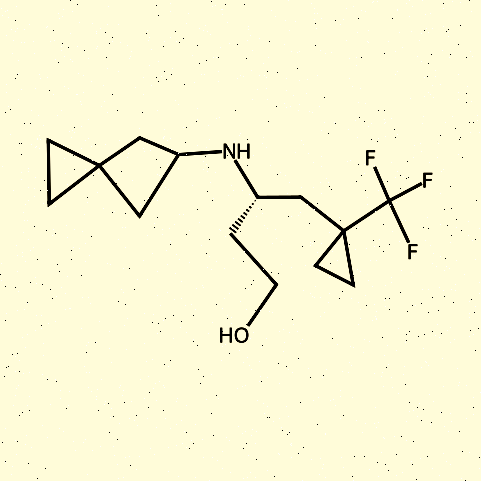 OCC[C@@H](CC1(C(F)(F)F)CC1)NC1CC2(CC2)C1